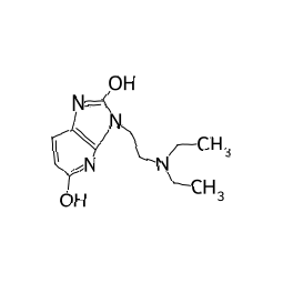 CCN(CC)CCn1c(O)nc2ccc(O)nc21